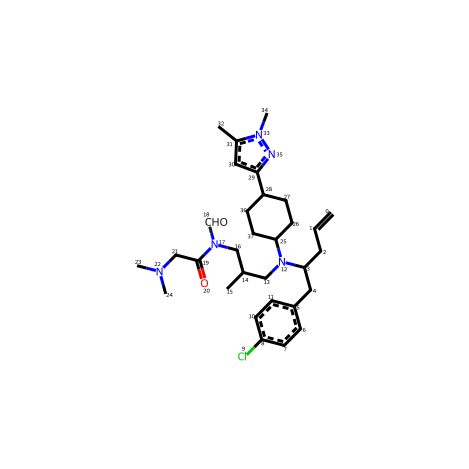 C=CCC(Cc1ccc(Cl)cc1)N(CC(C)CN(C=O)C(=O)CN(C)C)C1CCC(c2cc(C)n(C)n2)CC1